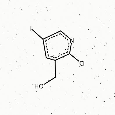 OCc1cc(I)cnc1Cl